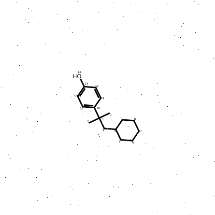 CC(C)(CC1CCCCC1)c1ccc(O)cc1